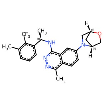 Cc1cccc([C@@H](C)Nc2nnc(C)c3ccc(N4C[C@H]5C[C@@H]4CO5)cc23)c1C(F)(F)F